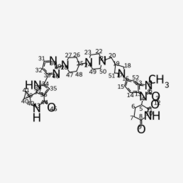 Cn1c(=O)n(C2CCC(=O)NC2=O)c2ccc(N3CC(CN4CCN(C5CCN(c6nccc(-c7cc8c([nH]7)C7(CC7)CNC8=O)n6)CC5)CC4)C3)cc21